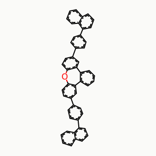 c1ccc2c(c1)-c1cc(-c3ccc(-c4cccc5ccccc45)cc3)ccc1Oc1ccc(-c3ccc(-c4cccc5ccccc45)cc3)cc1-2